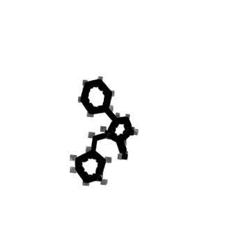 S=c1scc(-c2ccccc2)n1Cc1cccnc1